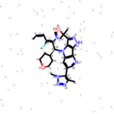 C=N/C(=C(F)\C=C/C)[C@H](C1CCOCC1)n1c2cc(-c3c(C)nnn3C)cnc2c2[nH]nc(C(C)(C)O)c21